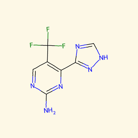 Nc1ncc(C(F)(F)F)c(-c2nc[nH]n2)n1